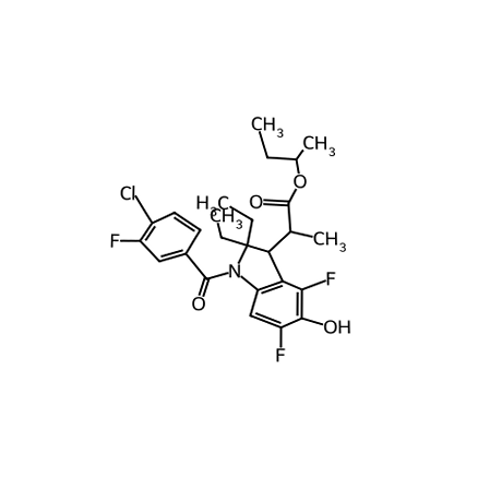 CCC(C)OC(=O)C(C)C1c2c(cc(F)c(O)c2F)N(C(=O)c2ccc(Cl)c(F)c2)C1(CC)CC